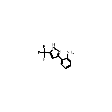 Nc1ccccc1-c1cc(C(F)(F)F)[nH]n1